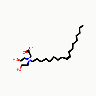 CCCCCCCC/C=C\CCCCCCCC[N+](CCO)(CCO)CC(=O)[O-]